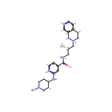 CC(=O)N1CCC(Nc2cc(C(=O)NC[C@H](O)CN3CCc4ccncc4C3)ccn2)CC1